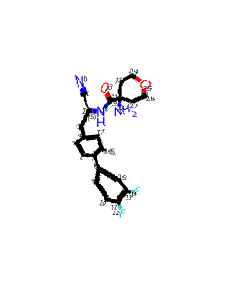 N#C[C@H](Cc1ccc(-c2ccc(F)c(F)c2)cc1)NC(=O)C1(N)CCOCC1